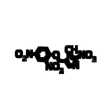 Cn1c(COc2ccc([N+](=O)[O-])cc2[N+](=O)[O-])cnc1[N+](=O)[O-]